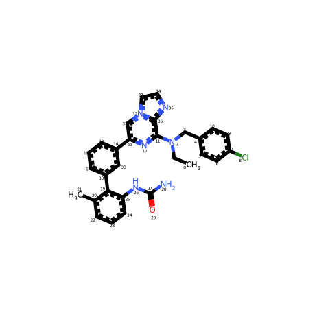 CCN(Cc1ccc(Cl)cc1)c1nc(-c2cccc(-c3c(C)cccc3NC(N)=O)c2)cn2ccnc12